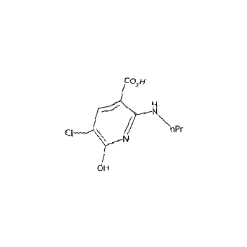 CCCNc1nc(O)c(Cl)cc1C(=O)O